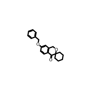 O=C1c2ccc(OCc3ccccc3)cc2COC12CCCCC2